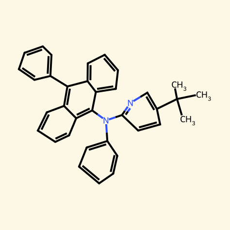 CC(C)(C)c1ccc(N(c2ccccc2)c2c3ccccc3c(-c3ccccc3)c3ccccc23)nc1